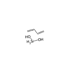 C=CC=C.O[SiH2]O